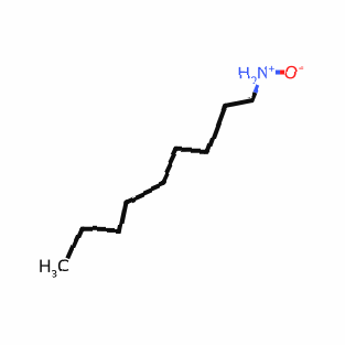 CCCCCCCCC[NH2+][O-]